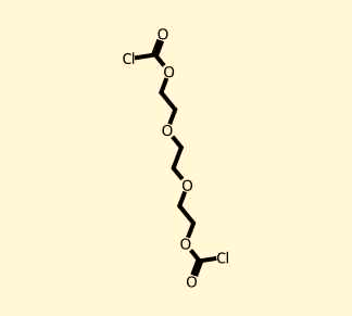 O=C(Cl)OCCOCCOCCOC(=O)Cl